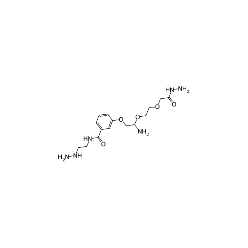 NNCCNC(=O)c1cccc(OCC(N)OCCOCC(=O)NN)c1